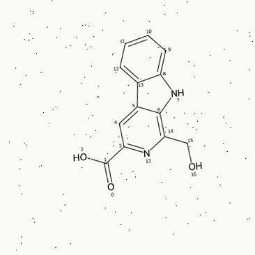 O=C(O)c1cc2c([nH]c3ccccc32)c(CO)n1